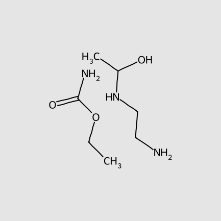 CC(O)NCCN.CCOC(N)=O